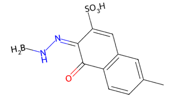 BN/N=C1\C(=O)c2ccc(C)cc2C=C1S(=O)(=O)O